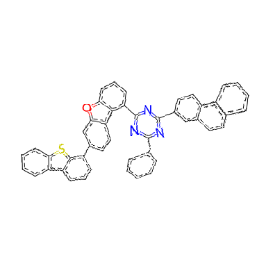 c1ccc(-c2nc(-c3ccc4c(ccc5ccccc54)c3)nc(-c3cccc4oc5cc(-c6cccc7c6sc6ccccc67)ccc5c34)n2)cc1